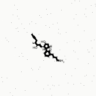 CC#CC[C@H](C)[C@H](O)C=C[C@@H]1[C@H]2c3cccc(CCCCN)c3O[C@H]2C[C@H]1O